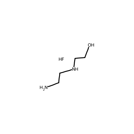 F.NCCNCCO